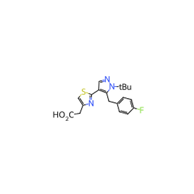 CC(C)(C)n1ncc(-c2nc(CC(=O)O)cs2)c1Cc1ccc(F)cc1